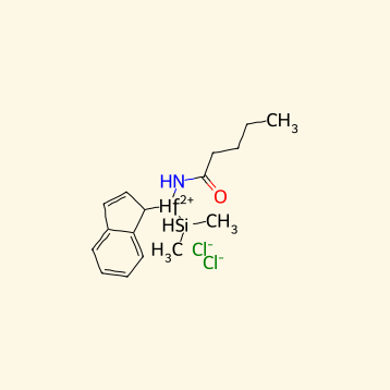 CCCCC(=O)[NH][Hf+2]([CH]1C=Cc2ccccc21)[SiH](C)C.[Cl-].[Cl-]